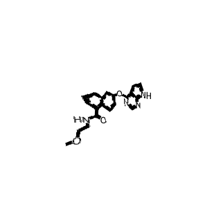 COCCNC(=O)c1cccc2cc(Oc3ncnc4[nH]ccc34)ccc12